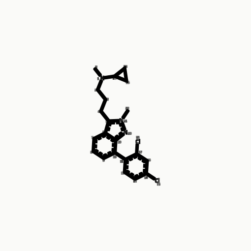 CN(CCCc1c2cccc(-c3ccc(Cl)cc3Cl)c2nn1C)C1CC1